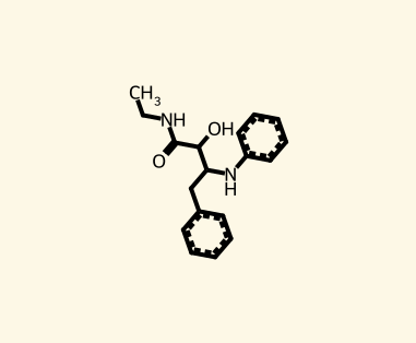 CCNC(=O)C(O)C(Cc1ccccc1)Nc1ccccc1